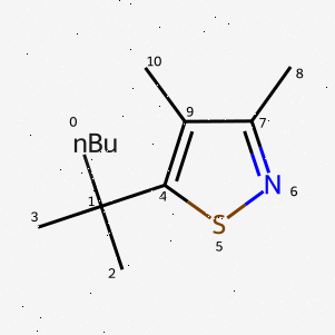 CCCCC(C)(C)c1snc(C)c1C